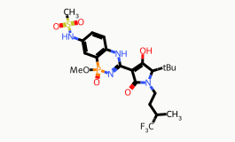 COP1(=O)N=C(C2=C(O)C(C(C)(C)C)N(CCC(C)C(F)(F)F)C2=O)Nc2ccc(NS(C)(=O)=O)cc21